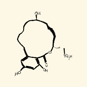 CS(=O)(=O)O.C[C@H]1CCC[C@H](O)CCCCCc2cc(O)cc(O)c2C(=O)O1